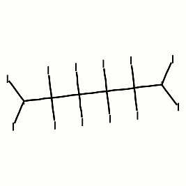 I[C](I)C(I)(I)C(I)(I)C(I)(I)C(I)(I)[C](I)I